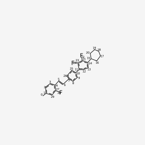 Cc1ccc(/C=C/c2ccc(-c3ccc(C4CCCCC4)c(F)c3F)cc2)c(F)c1